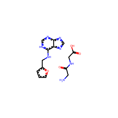 NCC(=O)NCC(=O)O.c1coc(CNc2[nH]cnc3ncnc2-3)c1